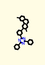 Cc1ccc2ccc3cc(C)c(-c4cccc(-c5nc(-c6ccccc6)nc(-c6ccccc6)n5)c4)cc3c2c1